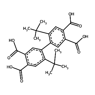 CC(C)(C)c1cc(C(=O)O)c(C(=O)O)cc1-c1cc(C(=O)O)c(C(=O)O)cc1C(C)(C)C